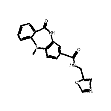 CN1c2ccc(C(=O)NCc3cnco3)cc2NC(=O)c2ccccc21